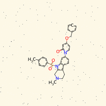 Cc1ccc(S(=O)(=O)n2c3c(c4ccc(-n5ccc(OCc6ccccc6)cc5=O)cc42)CCN(C)C3)cc1